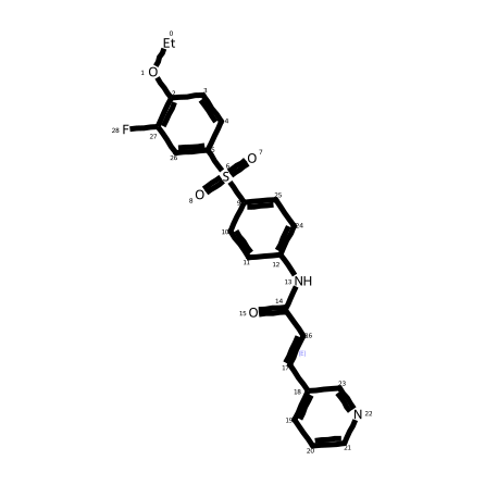 CCOc1ccc(S(=O)(=O)c2ccc(NC(=O)/C=C/c3cccnc3)cc2)cc1F